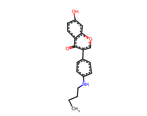 CCCCNc1ccc(-c2coc3cc(O)ccc3c2=O)cc1